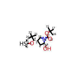 C[SiH](C)OC([C@H]1C[C@@H](CO)N(C(=O)OC(C)(C)C)C1)C(C)(C)C